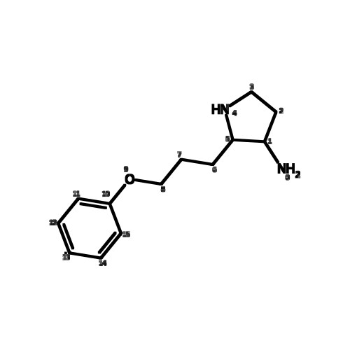 NC1CCNC1CCCOc1cc[c]cc1